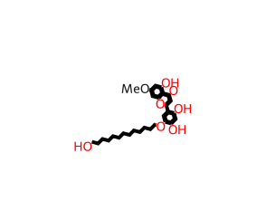 COc1cc(O)c2c(=O)cc(-c3cc(OCCCCCCCCCCCCCO)c(O)cc3O)oc2c1